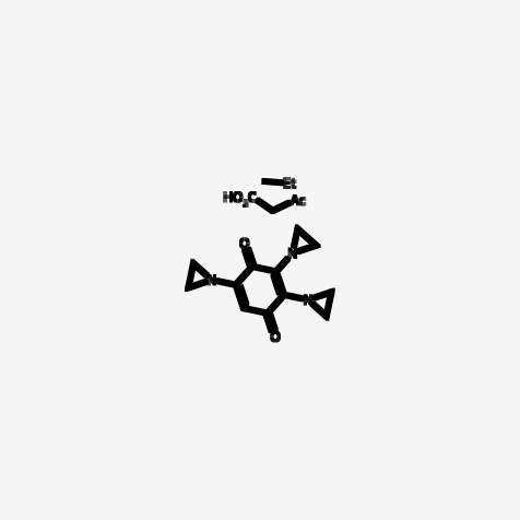 CC(=O)CC(=O)O.CCC.O=C1C=C(N2CC2)C(=O)C(N2CC2)=C1N1CC1